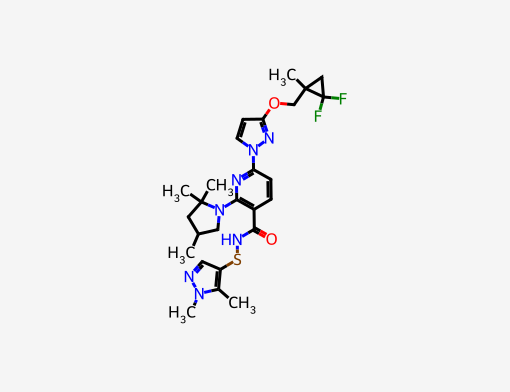 Cc1c(SNC(=O)c2ccc(-n3ccc(OCC4(C)CC4(F)F)n3)nc2N2CC(C)CC2(C)C)cnn1C